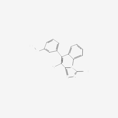 COc1cccc(-c2c(N)c3nnc(C)n3c3ccccc23)c1